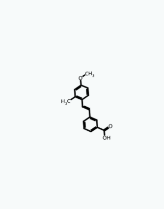 COc1ccc(/C=C/c2cccc(C(=O)O)c2)c(C)c1